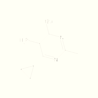 Cc1nc(C2CC2)c(P)c(C(C)(C)C)n1